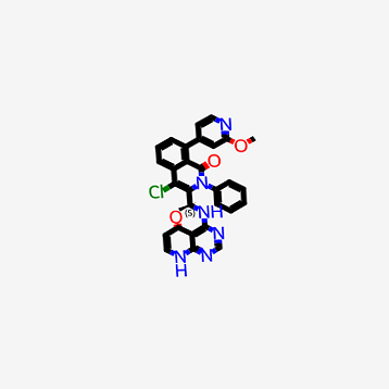 COc1cc(-c2cccc3c(Cl)c([C@H](C)Nc4ncnc5[nH]ccc(=O)c45)n(-c4ccccc4)c(=O)c23)ccn1